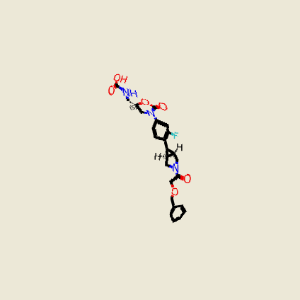 O=C(O)NC[C@H]1CN(c2ccc(C3[C@H]4CN(C(=O)COCc5ccccc5)C[C@@H]34)c(F)c2)C(=O)O1